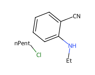 CCCCCCl.CCNc1ccccc1C#N